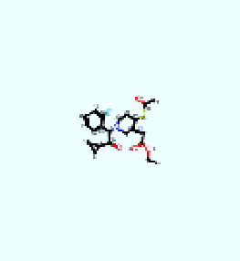 CCOC(=O)/C=C1\CN(C(C(=O)C2CC2)c2ccccc2F)CCC1SC(C)=O